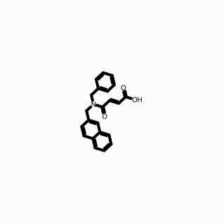 O=C(O)C=CC(=O)N(Cc1ccccc1)Cc1ccc2ccccc2c1